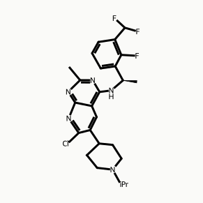 Cc1nc(N[C@H](C)c2cccc(C(F)F)c2F)c2cc(C3CCN(C(C)C)CC3)c(Cl)nc2n1